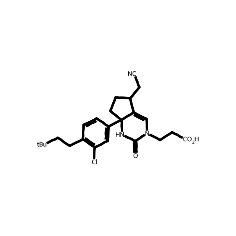 CC(C)(C)CCc1ccc(C23CCC(CC#N)C2=CN(CCC(=O)O)C(=O)N3)cc1Cl